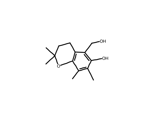 Cc1c(C)c2c(c(CO)c1O)CCC(C)(C)O2